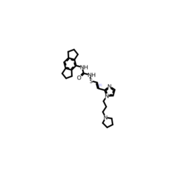 O=C(NS/C=C/c1nccn1CCCN1CCCC1)Nc1c2c(cc3c1CCC3)CCC2